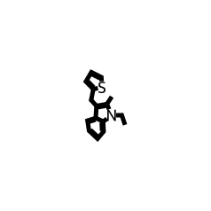 CCn1c(C)c(Cc2cccs2)c2ccccc21